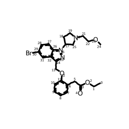 CCOC(=O)Cc1ccccc1OCc1nn(C2CCN(CCOC)C2)c2ccc(Br)cc12